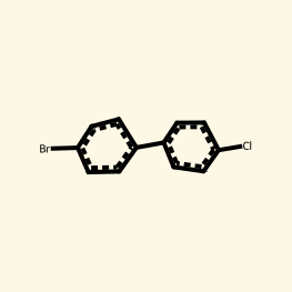 Clc1[c]cc(-c2ccc(Br)cc2)cc1